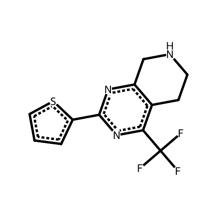 FC(F)(F)c1nc(-c2cccs2)nc2c1CCNC2